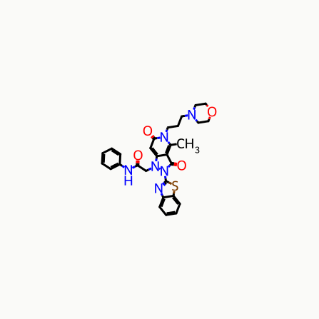 Cc1c2c(=O)n(-c3nc4ccccc4s3)n(CC(=O)Nc3ccccc3)c2cc(=O)n1CCCN1CCOCC1